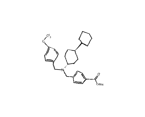 COC(=O)c1ccc(CN(Cc2ccc(OC(F)(F)F)cc2)[C@H]2CC[C@H](C3CCCCC3)CC2)cc1